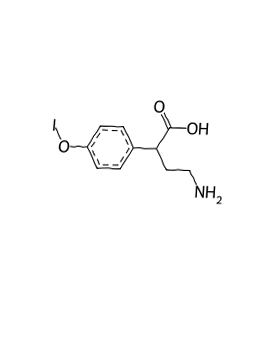 NCCC(C(=O)O)c1ccc(OI)cc1